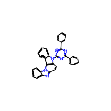 c1ccc(-c2nc(-c3ccccc3)nc(-n3c4ccccc4c4c3ccc3nc5ccccc5n34)n2)cc1